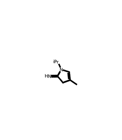 CC1=CN(C(C)C)C(=N)C1